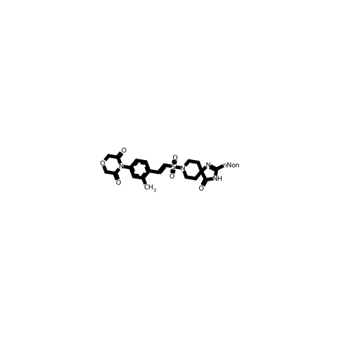 CCCCCCCCCC1=NC2(CCN(S(=O)(=O)C=Cc3ccc(N4C(=O)COCC4=O)cc3C)CC2)C(=O)N1